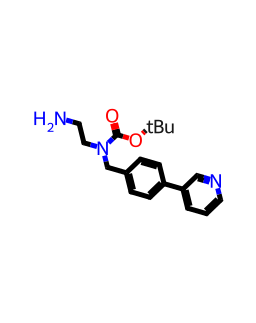 CC(C)(C)OC(=O)N(CCN)Cc1ccc(-c2cccnc2)cc1